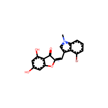 Cn1cc(/C=C2/Oc3cc(O)cc(O)c3C2=O)c2c(Br)cccc21